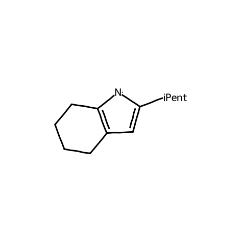 CCCC(C)C1=CC2=C(CCCC2)[N]1